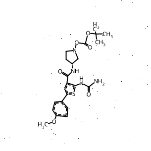 COc1ccc(-c2cc(C(=O)N[C@H]3CCN(OC(=O)OC(C)(C)C)C3)c(NC(N)=O)s2)cc1